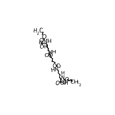 C=CCOC(=O)NC(CCCCNC(=O)OCCCCOC(=O)NCCCCC(NC(=O)OCC=C)C(=O)O)C(=O)O